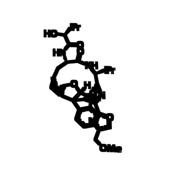 COCc1coc(-c2nc3oc2C24c5ccccc5N[C@H]2Oc2ccc(cc24)C[C@H](NC(=O)[C@@H](O)C(C)C)C(=O)N[C@H]3C(C)C)n1